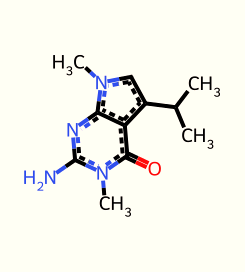 CC(C)c1cn(C)c2nc(N)n(C)c(=O)c12